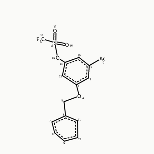 CC(=O)c1cc(OCc2ccccc2)cc(OS(=O)(=O)C(F)(F)F)c1